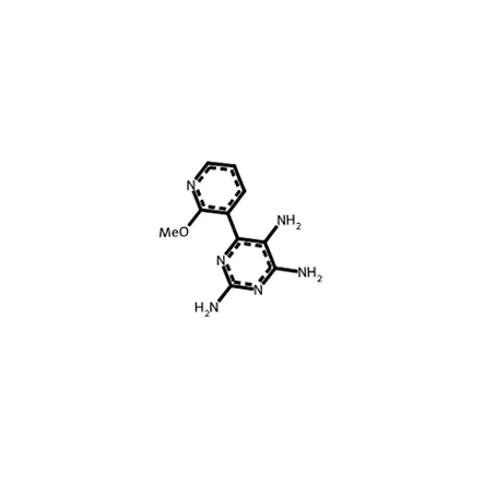 COc1ncccc1-c1nc(N)nc(N)c1N